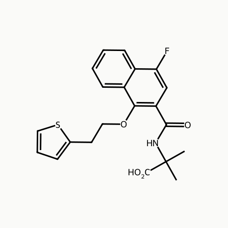 CC(C)(NC(=O)c1cc(F)c2ccccc2c1OCCc1cccs1)C(=O)O